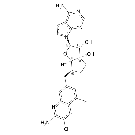 Nc1nc2cc(C[C@@H]3CC[C@@]4(O)[C@@H]3O[C@@H](n3ccc5c(N)ncnc53)[C@@H]4O)cc(F)c2cc1Cl